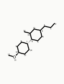 CCCC1CCC([C@H]2CC[C@H](OC)CC2)C(C)C1